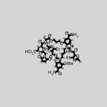 CCc1nc(C)oc1C(=O)/N=c1\sc2cc(C(N)=O)cc(OC)c2n1C/C=C/Cn1c(NC(=O)c2oc(C)nc2CC)nc2cc(C(N)=O)cc(OCCCOC(=O)[C@H](C)NC(=O)[C@H](CCC(=O)O)NC(=O)CN3C(=O)C=CC3=O)c21